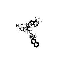 CC1(C)O[C@@H]2[C@H](O1)[C@@H](CNS(=O)(=O)c1ccc3ccccc3c1)O[C@H]2n1ccc2c(N)ncnc21